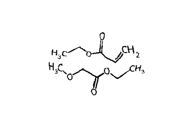 C=CC(=O)OCC.CCOC(=O)COC